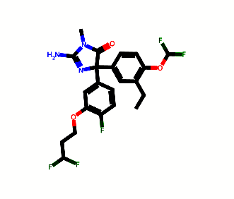 CCc1cc(C2(c3ccc(F)c(OCCC(F)F)c3)N=C(N)N(C)C2=O)ccc1OC(F)F